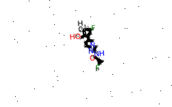 Cc1cc(F)cc(-c2ccc3nc(NC(=O)C4CC4F)cn3c2)c1CO